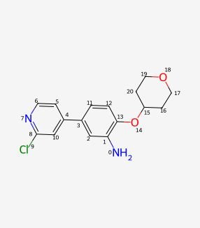 Nc1cc(-c2ccnc(Cl)c2)ccc1OC1CCOCC1